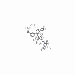 C=C(/C=C(\C=C(/C)C(F)(F)F)C(F)(F)F)[C@H]1OC(=O)N(Cc2nc(N3CC(F)(F)C3)ncc2-c2cc(C3C[C@@H]3C(=O)OCC)ccc2OC)[C@H]1C